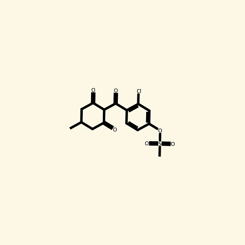 CC1CC(=O)C(C(=O)c2ccc(OS(C)(=O)=O)cc2Cl)C(=O)C1